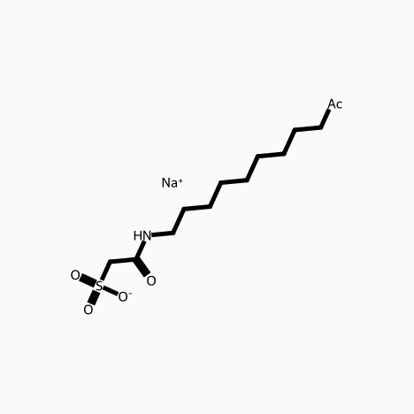 CC(=O)CCCCCCCCCNC(=O)CS(=O)(=O)[O-].[Na+]